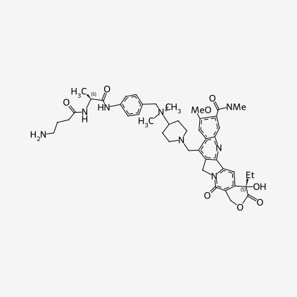 CC[C@@]1(O)C(=O)OCc2c1cc1n(c2=O)Cc2c-1nc1cc(C(=O)NC)c(OC)cc1c2CN1CCC([N+](C)(C)Cc2ccc(NC(=O)[C@H](C)NC(=O)CCCN)cc2)CC1